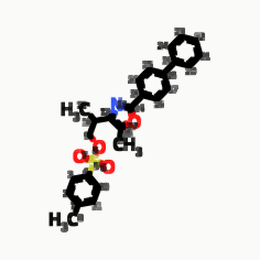 Cc1ccc(S(=O)(=O)OCC(C)c2nc(-c3ccc(-c4ccccc4)cc3)oc2C)cc1